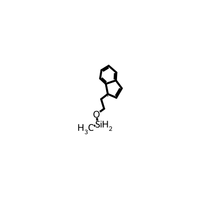 C[SiH2]OCC[C]1C=Cc2ccccc21